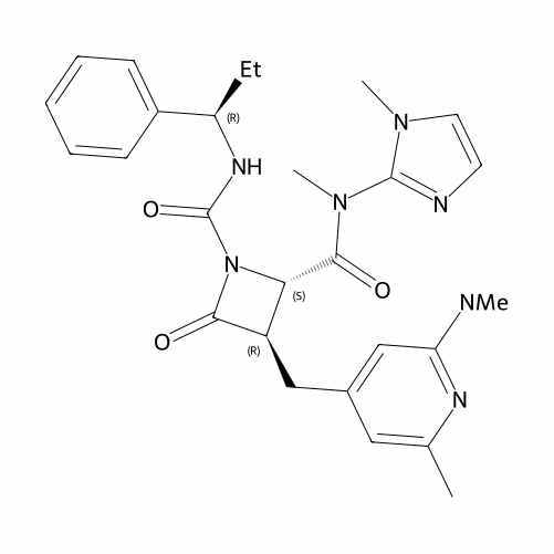 CC[C@@H](NC(=O)N1C(=O)[C@H](Cc2cc(C)nc(NC)c2)[C@H]1C(=O)N(C)c1nccn1C)c1ccccc1